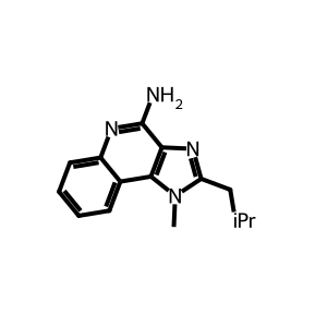 CC(C)Cc1nc2c(N)nc3ccccc3c2n1C